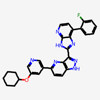 Fc1ccccc1-c1ccnc2[nH]c(-c3n[nH]c4ccc(-c5cncc(OC6CCCCC6)c5)nc34)nc12